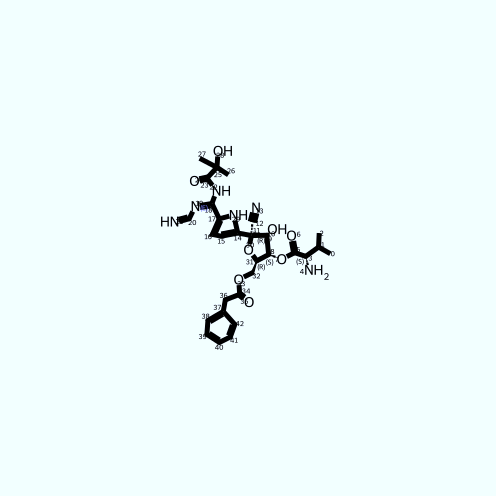 CC(C)[C@H](N)C(=O)O[C@H]1[C@@H](O)[C@](C#N)(c2ccc(/C(=N\C=N)NC(=O)C(C)(C)O)[nH]2)O[C@@H]1COC(=O)Cc1ccccc1